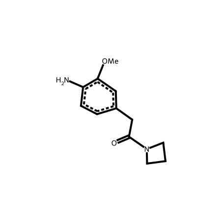 COc1cc(CC(=O)N2CCC2)ccc1N